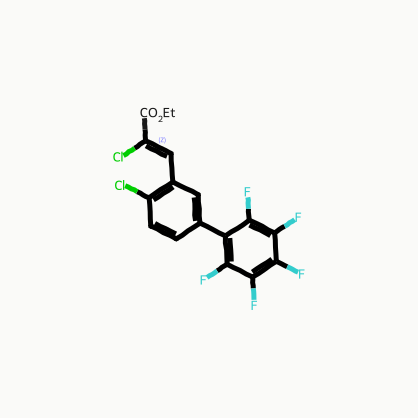 CCOC(=O)/C(Cl)=C/c1cc(-c2c(F)c(F)c(F)c(F)c2F)ccc1Cl